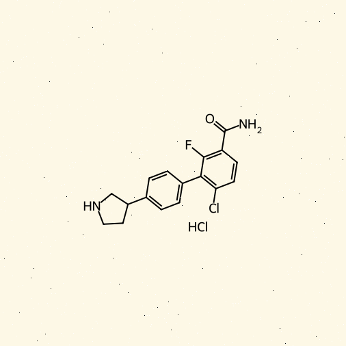 Cl.NC(=O)c1ccc(Cl)c(-c2ccc(C3CCNC3)cc2)c1F